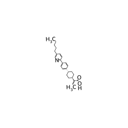 CC=C(C(=O)O)[C@H]1CC[C@H](c2ccc(-c3ccc(CCCCC)cn3)cc2)CC1